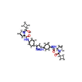 O=C(Nc1ccc(-c2cc(-c3ccc(NC(=O)[C@@H]4C=CCN4C(=O)C4CCC4)cc3)[nH]n2)cc1)[C@@H]1C=CCN1C(=O)C1CCC1